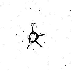 Cc1c(C(F)(F)F)nn(C)c1C